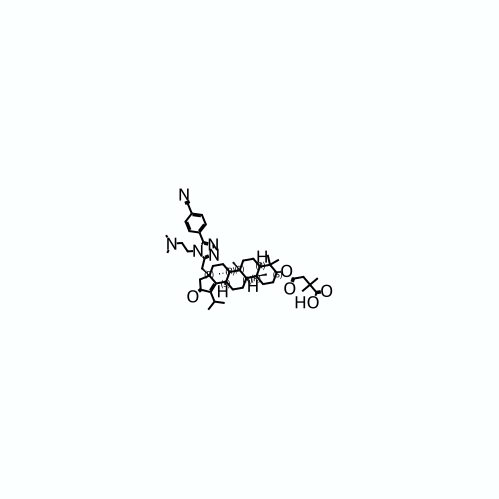 CC(C)C1=C2[C@H]3CC[C@@H]4[C@@]5(C)CC[C@H](OC(=O)CC(C)(C)C(=O)O)C(C)(C)[C@@H]5CC[C@@]4(C)[C@]3(C)CC[C@@]2(Cc2nnc(-c3ccc(C#N)cc3)n2CCN(C)C)CC1=O